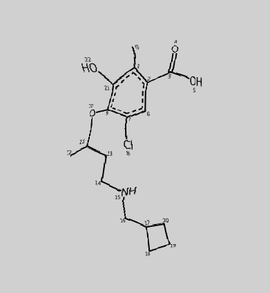 Cc1c(C(=O)O)cc(Cl)c(OC(C)CCNCC2CCC2)c1O